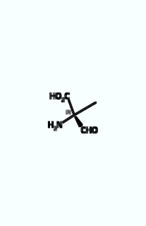 C[C@@](N)(C=O)C(=O)O